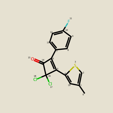 Cc1csc(C2=C(c3ccc(F)cc3)C(=O)C2(Cl)Cl)c1